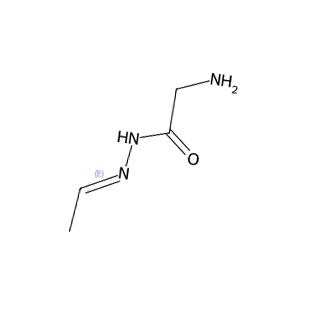 C/C=N/NC(=O)CN